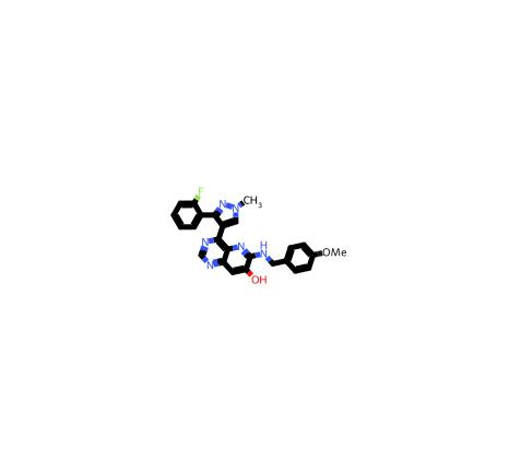 COc1ccc(CNc2nc3c(-c4cn(C)nc4-c4ccccc4F)ncnc3cc2O)cc1